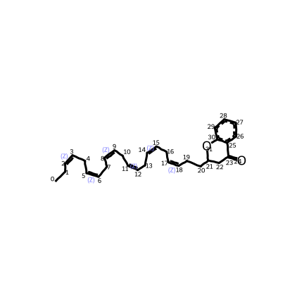 CC/C=C\C/C=C\C/C=C\C/C=C\C/C=C\C/C=C\CCC1CC(=O)c2ccccc2O1